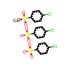 O=S(=O)([O-])c1ccc(Cl)cc1.O=S(=O)([O-])c1ccc(Cl)cc1.O=S(=O)([O-])c1ccc(Cl)cc1.[Ga+3]